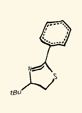 CC(C)(C)C1CSC(c2ccccc2)=N1